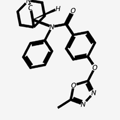 Cc1nnc(Oc2ccc(C(=O)N(c3ccccc3)[C@H]3CN4CCC3CC4)cc2)o1